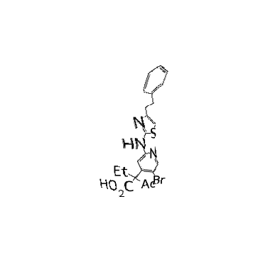 CCC(C(C)=O)(C(=O)O)c1cc(Nc2nc(CCc3ccccc3)cs2)ncc1Br